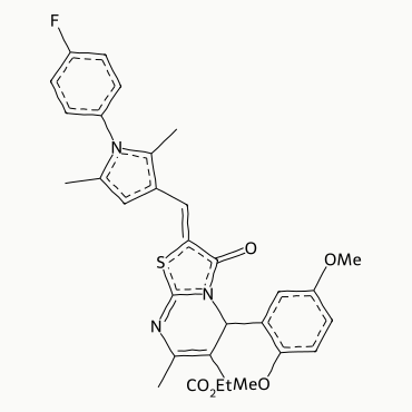 CCOC(=O)C1=C(C)N=c2s/c(=C\c3cc(C)n(-c4ccc(F)cc4)c3C)c(=O)n2C1c1cc(OC)ccc1OC